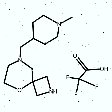 CN1CCC(CN2CCOC3(CNC3)C2)CC1.O=C(O)C(F)(F)F